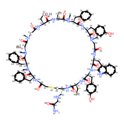 CC[C@H](C)[C@H]1C(=O)N(C)CC(=O)N[C@@H](CC(=O)O)C(=O)N[C@@H](C(C)C)C(=O)N(C)[C@@H](Cc2ccccc2)C(=O)N[C@@H](Cc2ccc(O)cc2)C(=O)N(C)CC(=O)N[C@@H](Cc2c[nH]c3ccccc23)C(=O)N[C@@H](Cc2ccc(O)cc2)C(=O)N[C@@H](CC(C)C)C(=O)N[C@H](CNCC(N)=O)CSCC(=O)N[C@@H](Cc2ccccc2)C(=O)N(C)[C@@H](Cc2ccccc2)C(=O)N1C